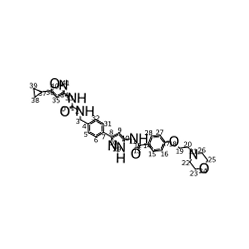 O=C(NCc1ccc(-c2cc(NC(=O)c3ccc(OCCN4CCOCC4)cc3)[nH]n2)cc1)Nc1cc(C2CC2)on1